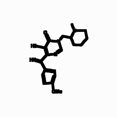 COc1ccc(C(=N)c2ncn(CC3CCCCN3C)c(=O)c2S)cc1